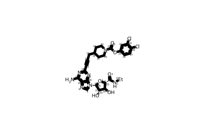 CCNC(=O)[C@H]1O[C@@H](n2cnc3c(N)nc(C#CCC4CCN(C(=O)Oc5ccc(Cl)c(Cl)c5)CC4)nc32)[C@@H](O)C1O